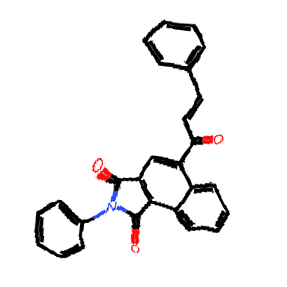 O=C(C=Cc1ccccc1)c1cc2c(c3ccccc13)C(=O)N(c1ccccc1)C2=O